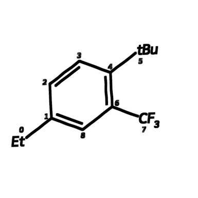 [CH2]Cc1ccc(C(C)(C)C)c(C(F)(F)F)c1